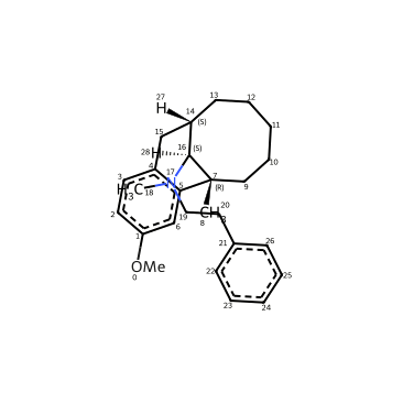 COc1ccc2c(c1)[C@@]1(C)CCCCC[C@@H](C2)[C@@H]1N(C)CCc1ccccc1